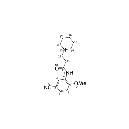 COc1ccc(C#N)cc1NC(=O)CCN1CCCCC1